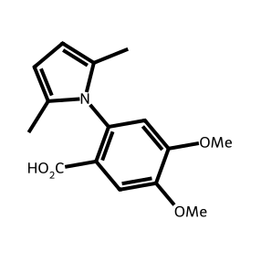 COc1cc(C(=O)O)c(-n2c(C)ccc2C)cc1OC